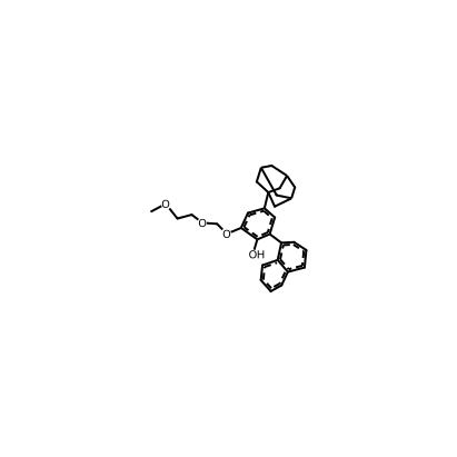 COCCOCOc1cc(C23CC4CC(CC(C4)C2)C3)cc(-c2cccc3ccccc23)c1O